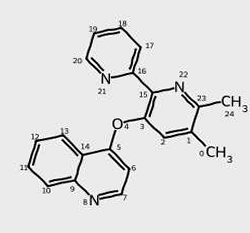 Cc1cc(Oc2ccnc3ccccc23)c(-c2ccccn2)nc1C